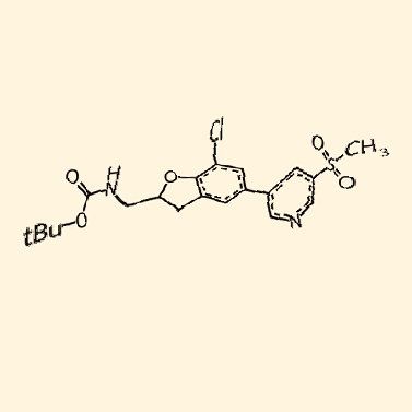 CC(C)(C)OC(=O)NCC1Cc2cc(-c3cncc(S(C)(=O)=O)c3)cc(Cl)c2O1